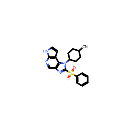 N#CC1CCC(n2c(S(=O)(=O)c3ccccc3)nc3cnc4[nH]ccc4c32)CC1